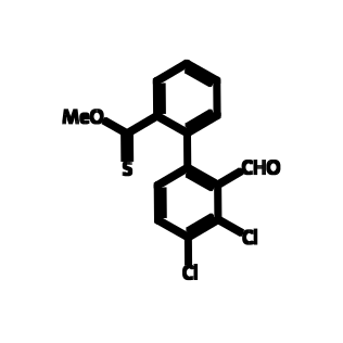 COC(=S)c1ccccc1-c1ccc(Cl)c(Cl)c1C=O